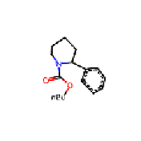 CCCCOC(=O)N1CCCCC1c1ccccc1